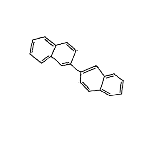 [c]1cc2ccccc2cc1-c1[c]cc2ccccc2c1